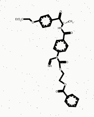 CCOC(=O)COc1ccc(C(=O)[C@H](C)NC(=O)c2ccc(N(C=N)C(=O)OCCOC(=O)c3ccccc3)cc2)cc1